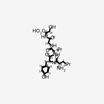 CC(C)C[C@H](N)C(=O)N[C@@H](Cc1ccc(O)cc1)C(=O)N[C@H](C(=O)NCC(=O)N[C@@H](CO)C(=O)O)C(C)C